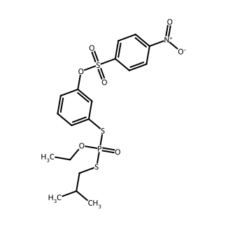 CCOP(=O)(SCC(C)C)Sc1cccc(OS(=O)(=O)c2ccc([N+](=O)[O-])cc2)c1